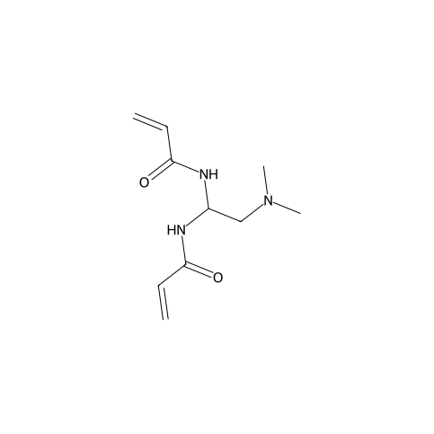 C=CC(=O)NC(CN(C)C)NC(=O)C=C